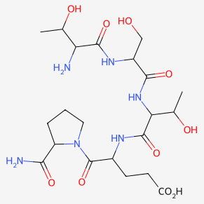 CC(O)C(N)C(=O)NC(CO)C(=O)NC(C(=O)NC(CCC(=O)O)C(=O)N1CCCC1C(N)=O)C(C)O